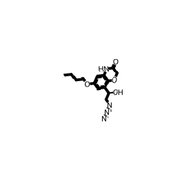 CCCCOc1cc2c(c([C@@H](O)CN=[N+]=[N-])c1)OCC(=O)N2